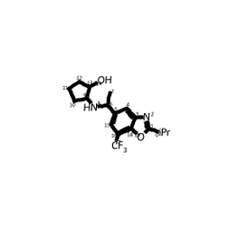 CC(C)c1nc2cc(C(C)NC3CCCC3O)cc(C(F)(F)F)c2o1